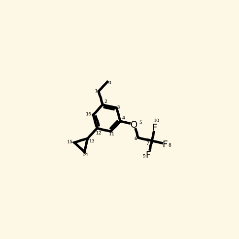 CCc1cc(OCC(F)(F)F)cc(C2CC2)c1